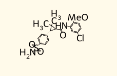 COc1ccc(Cl)cc1NC(=O)[C@H]1[C@H](c2ccc(S(N)(=O)=O)cc2)C1(C)C